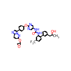 CC(O)Cc1cccc(-c2ccc(C(F)(F)F)cc2NC(=O)Nc2cnc(Oc3ccc(-c4cnc5ccc(OC6COC6)nn45)cc3)nc2)c1